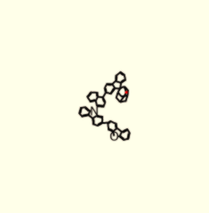 c1ccc2c(c1)-c1ccc(-c3ccc(-n4c5ccccc5c5ccc(-c6ccc7c(c6)oc6ccccc67)cc54)c4ccccc34)cc1C21C2CC3CC(C2)CC1C3